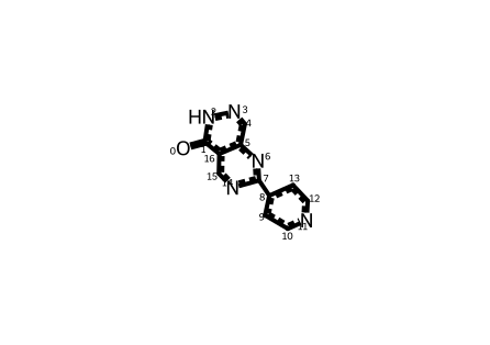 O=c1[nH]ncc2nc(-c3ccncc3)ncc12